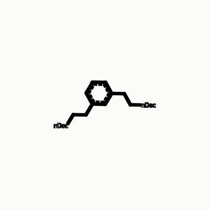 CCCCCCCCCCCCc1c[c]cc(CCCCCCCCCCCC)c1